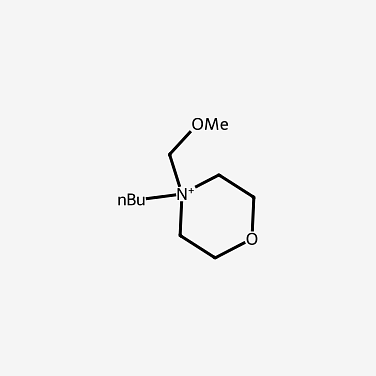 CCCC[N+]1(COC)CCOCC1